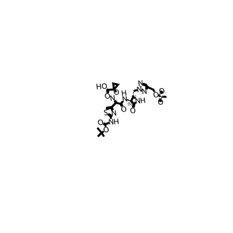 CC(C)(C)OC(=O)Nc1nc(C(=NOC2(C(=O)O)CC2)C(=O)N[C@@H]2C(=O)N[C@H]2Cn2ncc(COS(C)(=O)=O)n2)cs1